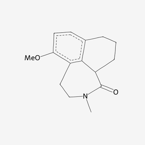 COc1ccc2c3c1CCN(C)C(=O)C3CCC2